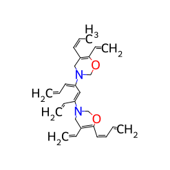 C=C/C=C\C1=C(C=C)CN(/C(C=C)=C/C(=C\C=C)N2COC(C=C)=C(/C=C\C)C2)CO1